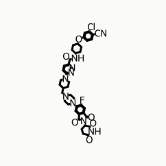 N#Cc1ccc(O[C@H]2CC[C@H](NC(=O)c3ccc(N4CCC(CN5CCN(c6cc7c(cc6F)C(=O)N(C6CCC(=O)NC6=O)C7=O)CC5)CC4)nn3)CC2)cc1Cl